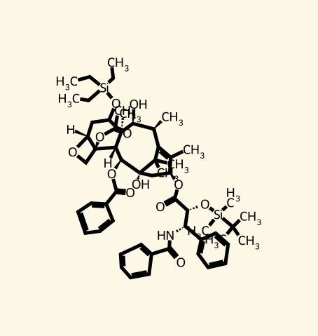 CC[Si](CC)(CC)OC1C[C@H]2OC[C@@]2(OC(C)=O)[C@H]2[C@H](OC(=O)c3ccccc3)[C@]3(O)C[C@H](OC(=O)[C@H](O[Si](C)(C)C(C)(C)C)[C@@H](NC(=O)c4ccccc4)c4ccccc4)C(C)=C([C@H](C)[C@H](O)[C@]12C)C3(C)C